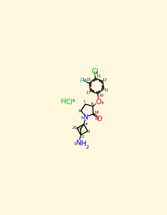 Cl.NC12CC(N3CCC(Oc4ccc(Cl)c(F)c4)C3=O)(C1)C2